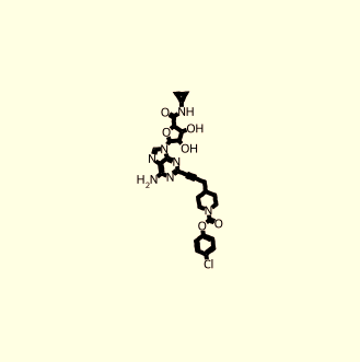 Nc1nc(C#CCC2CCN(C(=O)Oc3ccc(Cl)cc3)CC2)nc2c1ncn2C1OC(C(=O)NC2CC2)C(O)C1O